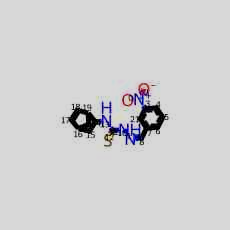 O=[N+]([O-])c1cccc(/C=N\NC(=S)NC2CC3C=CC2C3)c1